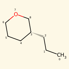 CCC[C@@H]1CCCOC1